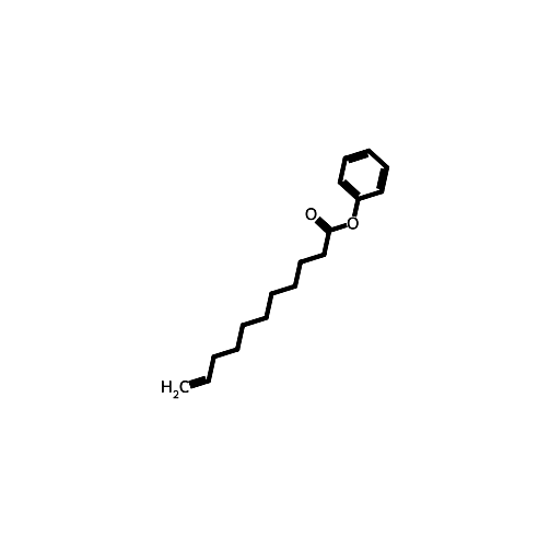 C=CCCCCCCCCC(=O)Oc1ccccc1